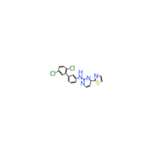 Clc1ccc(Cl)c(-c2cccc(Nc3nccc(-c4nccs4)n3)c2)c1